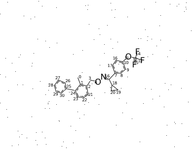 Cc1c(CO/N=C(/c2ccc(OC(F)(F)F)cc2)C2CC2)cccc1-c1ccccc1